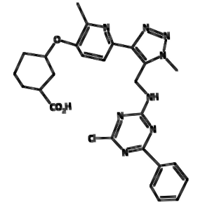 Cc1nc(-c2nnn(C)c2CNc2nc(Cl)nc(-c3ccccc3)n2)ccc1OC1CCCC(C(=O)O)C1